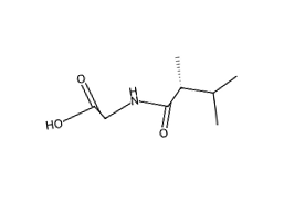 CC(C)[C@@H](C)C(=O)NCC(=O)O